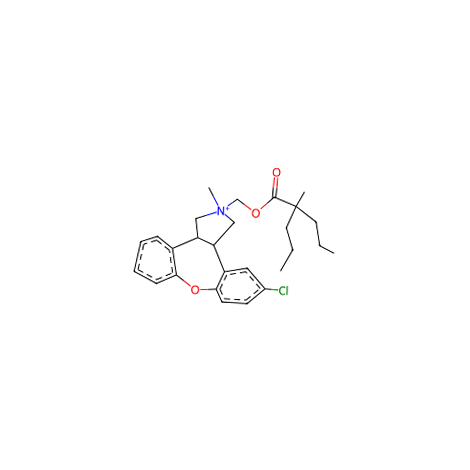 CCCC(C)(CCC)C(=O)OC[N+]1(C)CC2c3ccccc3Oc3ccc(Cl)cc3C2C1